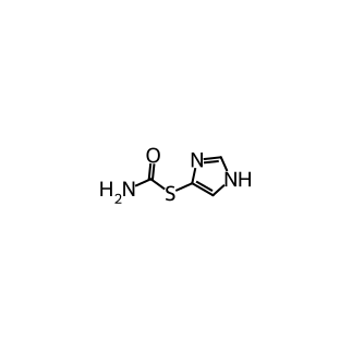 NC(=O)Sc1c[nH]cn1